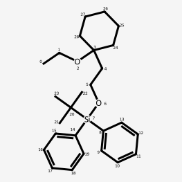 C[CH]OC1(CCO[Si](c2ccccc2)(c2ccccc2)C(C)(C)C)CCCCC1